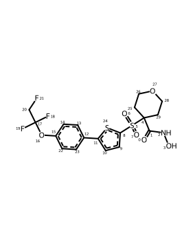 O=C(NO)C1(S(=O)(=O)c2ccc(-c3ccc(OC(F)(F)CF)cc3)s2)CCOCC1